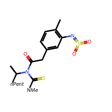 CCCCCC(C)N(C(=O)Cc1ccc(C)c(N=S(=O)=O)c1)C(=S)NC